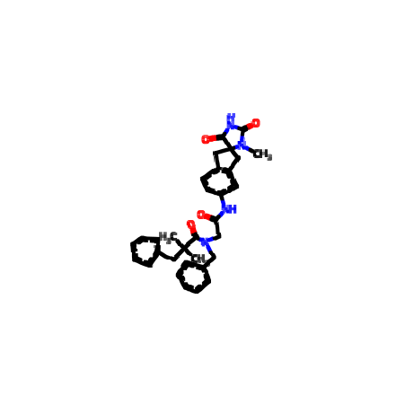 CN1C(=O)NC(=O)C12Cc1ccc(NC(=O)CN(Cc3ccccc3)C(=O)C(C)(C)Cc3ccccc3)cc1C2